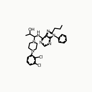 CCCc1nc2c(NC(C(C)O)N3CCN(c4cccc(Cl)c4Cl)CC3)ncnc2n1-c1ccccc1